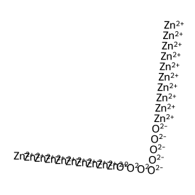 [O-2].[O-2].[O-2].[O-2].[O-2].[O-2].[O-2].[O-2].[Zn+2].[Zn+2].[Zn+2].[Zn+2].[Zn+2].[Zn+2].[Zn+2].[Zn+2].[Zn+2].[Zn+2].[Zn+2].[Zn+2].[Zn+2].[Zn+2].[Zn+2].[Zn+2].[Zn+2].[Zn+2].[Zn+2].[Zn+2]